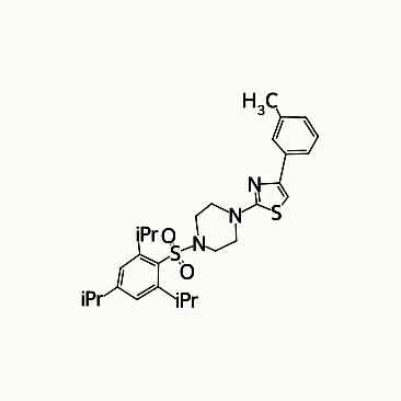 Cc1cccc(-c2csc(N3CCN(S(=O)(=O)c4c(C(C)C)cc(C(C)C)cc4C(C)C)CC3)n2)c1